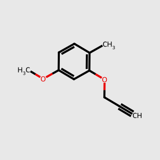 C#CCOc1cc(OC)ccc1C